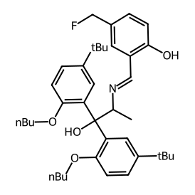 CCCCOc1ccc(C(C)(C)C)cc1C(O)(c1cc(C(C)(C)C)ccc1OCCCC)C(C)N=Cc1cc(CF)ccc1O